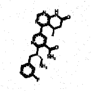 C[C@@H]1CC(=O)Nc2ncnc(-c3cnc([C@H](CN)Cc4cccc(F)c4)c(C(N)=O)c3)c21